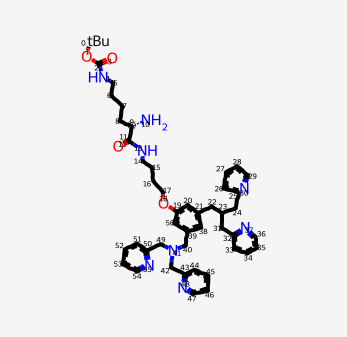 CC(C)(C)OC(=O)NCCCC[C@H](N)C(=O)NCCCCOc1cc(CC(Cc2ccccn2)Cc2ccccn2)cc(CN(Cc2ccccn2)Cc2ccccn2)c1